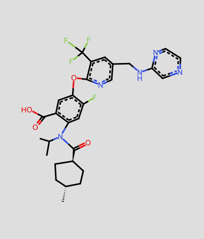 CC(C)N(c1cc(F)c(Oc2ncc(CNc3cnccn3)cc2C(F)(F)F)cc1C(=O)O)C(=O)[C@H]1CC[C@H](C)CC1